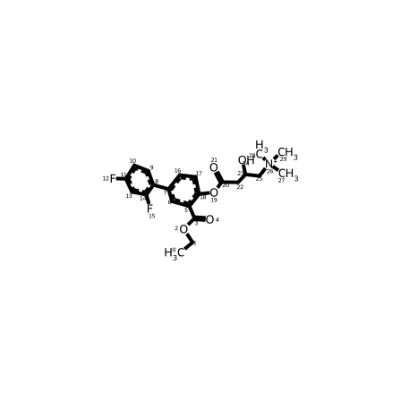 CCOC(=O)c1cc(-c2ccc(F)cc2F)ccc1OC(=O)CC(O)C[N+](C)(C)C